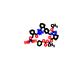 CCOc1nc2cccc(C(=O)OC(C)OC(=O)OC3CCCCC3)c2n1Cc1ccc(-c2ccccc2-c2nnn(C(=O)c3ccccc3CON(O)O)n2)cc1